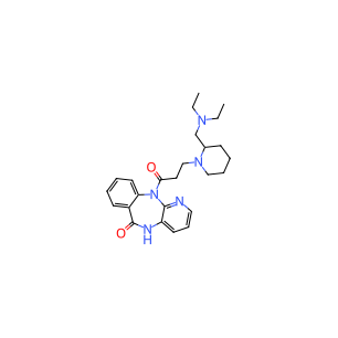 CCN(CC)CC1CCCCN1CCC(=O)N1c2ccccc2C(=O)Nc2cccnc21